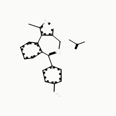 Cc1noc2c1-c1ccccc1C(c1ccc(C#N)cc1)=N[C@H]2CC(=O)C(C)(C)C